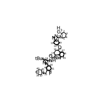 C[C@H]1CCCCN1c1nnc2ccc(O[C@@H]3CC[C@H](NC(=O)Nc4cc(C(C)(C)C)nn4-c4ccc(F)c(CN5CCOCC5)c4)c4ccccc43)cn12